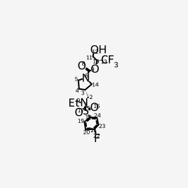 CCN(C[C@@H]1CCN(C(=O)O[C@H](CO)C(F)(F)F)C1)S(=O)(=O)c1ccc(F)cc1